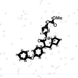 COC(=O)Oc1csc(NC(=O)C(CC2CCCC2)c2ccc(Oc3ccccc3)cc2)n1